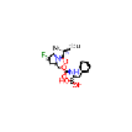 CC(C)(C)/C=C(\C#N)C(=O)N1C[C@@H](F)C[C@@H]1COC(=O)N[C@@H](Cc1ccccc1)B(O)O